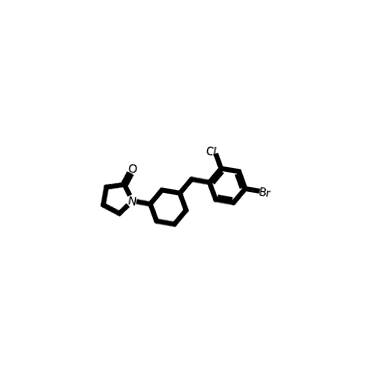 O=C1CCCN1C1CCCC(Cc2ccc(Br)cc2Cl)C1